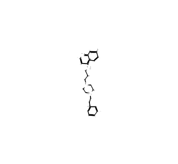 Clc1ccc2c(NCCCN3CCN(CCc4ccccc4)CC3)ccnc2c1